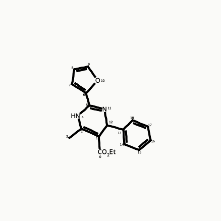 CCOC(=O)C1=C(C)NC(c2ccco2)=NC1c1ccccc1